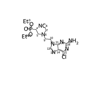 CCOP(=O)(CCN(CC#N)CCn1cnc2c(Cl)nc(N)nc21)OCC